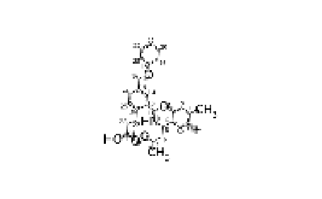 Cc1ccc(C(CC(C)C)NC(=O)c2cc(COc3ccccc3)ccc2CCC(=O)O)cc1F